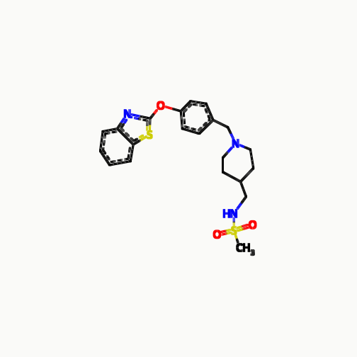 CS(=O)(=O)NCC1CCN(Cc2ccc(Oc3nc4ccccc4s3)cc2)CC1